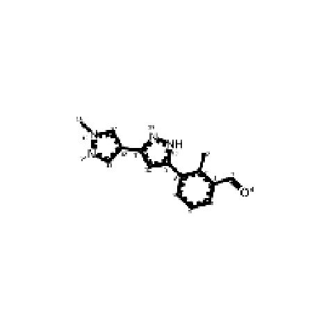 Cc1c(C=O)cccc1-c1cc(-c2cnn(C)c2)n[nH]1